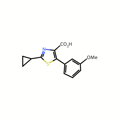 COc1cccc(-c2sc(C3CC3)nc2C(=O)O)c1